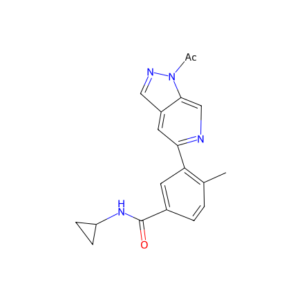 CC(=O)n1ncc2cc(-c3cc(C(=O)NC4CC4)ccc3C)ncc21